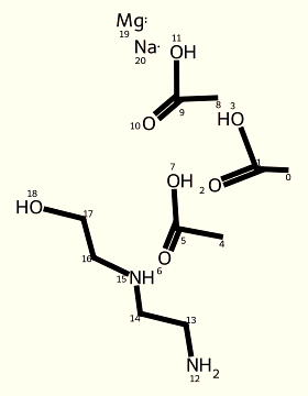 CC(=O)O.CC(=O)O.CC(=O)O.NCCNCCO.[Mg].[Na]